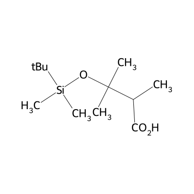 CC(C(=O)O)C(C)(C)O[Si](C)(C)C(C)(C)C